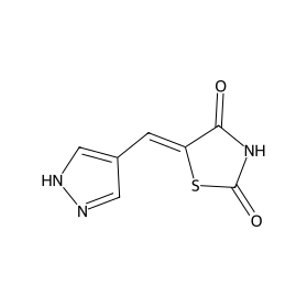 O=C1NC(=O)C(=Cc2cn[nH]c2)S1